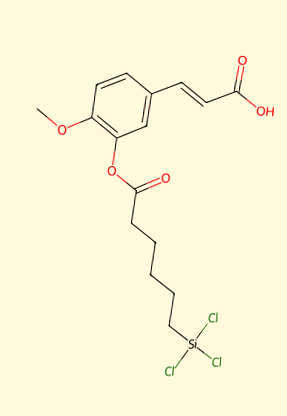 COc1ccc(C=CC(=O)O)cc1OC(=O)CCCCC[Si](Cl)(Cl)Cl